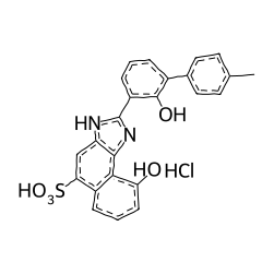 Cc1ccc(-c2cccc(-c3nc4c(cc(S(=O)(=O)O)c5cccc(O)c54)[nH]3)c2O)cc1.Cl